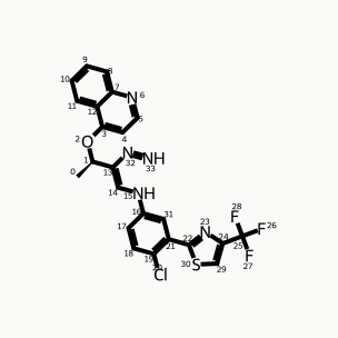 C[C@@H](Oc1ccnc2ccccc12)/C(=C/Nc1ccc(Cl)c(-c2nc(C(F)(F)F)cs2)c1)N=N